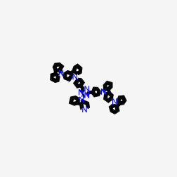 c1ccc2c(c1)c1ccccc1n2-c1ccc2c(c1)c1ccccc1n2-c1ccc(-c2nc(-c3ccc(-n4c5ccccc5c5cc(-n6c7ccccc7c7ccccc76)ccc54)cc3)nc(-n3c4ccccc4c4cnccc43)n2)cc1